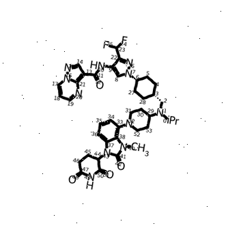 CC(C)N(C[C@H]1CC[C@H](n2cc(NC(=O)c3cnn4cccnc34)c(C(F)F)n2)CC1)C1CCN(c2cccc3c2n(C)c(=O)n3C2CCC(=O)NC2=O)CC1